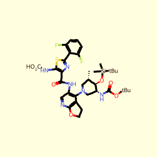 C[C@H]1CN(c2c(NC(=O)c3nc(-c4c(F)cccc4F)sc3NC(=O)O)cnc3c2CCO3)C[C@@H](NC(=O)OC(C)(C)C)[C@@H]1O[Si](C)(C)C(C)(C)C